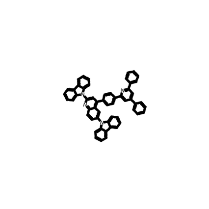 c1ccc(-c2cc(-c3ccccc3)nc(-c3ccc(-c4cc(-n5c6ccccc6c6ccccc65)nc5ccc(-n6c7ccccc7c7ccccc76)cc45)cc3)c2)cc1